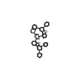 C1=CCC(c2nc(-c3cccc4c3oc3c(-c5ccccc5)cc(-c5ccccc5)cc34)nc(-c3cccc4oc5c(-c6ccccc6)cc(-c6ccccc6)cc5c34)n2)C=C1